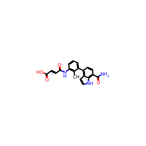 Cc1c(NC(=O)/C=C/C(=O)O)cccc1-c1ccc(C(N)=O)c2[nH]ccc12